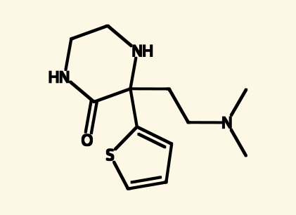 CN(C)CCC1(c2cccs2)NCCNC1=O